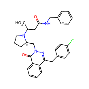 O=C(CC(C(=O)O)N1CCC[C@@H]1Cn1nc(Cc2ccc(Cl)cc2)c2ccccc2c1=O)NCc1ccccc1